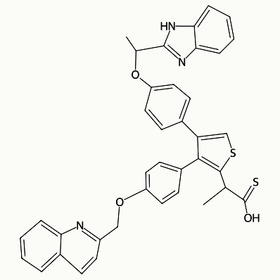 CC(Oc1ccc(-c2csc(C(C)C(O)=S)c2-c2ccc(OCc3ccc4ccccc4n3)cc2)cc1)c1nc2ccccc2[nH]1